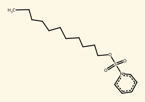 CCCCCCCCCCCOS(=O)(=O)[n+]1ccccc1